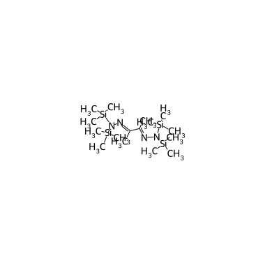 CC(=N\N([Si](C)(C)C)[Si](C)(C)C)/C(C)=N/N([Si](C)(C)C)[Si](C)(C)C